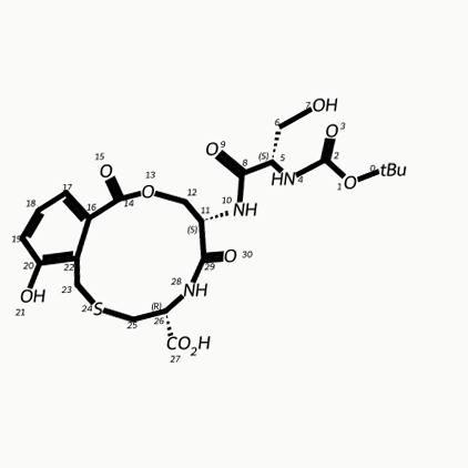 CC(C)(C)OC(=O)N[C@@H](CO)C(=O)N[C@H]1COC(=O)c2cccc(O)c2CSC[C@@H](C(=O)O)NC1=O